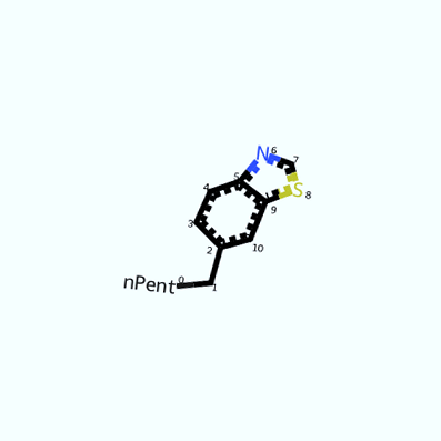 [CH2]CCCCCc1ccc2ncsc2c1